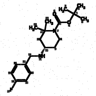 CC(C)(C)OC(=O)N1CC[C@H](NCc2ccc(F)cc2)CC1(C)C